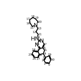 c1ccc(C2Cc3cnc(NCCCN4CCCCCC4)nc3-c3ccccc32)cc1